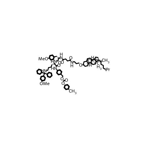 COc1ccc(C[C@H](NC(=O)CCC(=O)NCCCO[C@H]2CC[C@@]3(C)C(=CC[C@H]4[C@@H]5CC[C@H]([C@H](C)CCCC(C)C)[C@@]5(C)CC[C@@H]43)C2)C(=O)N[C@@H](CCCCNC(c2ccccc2)(c2ccccc2)c2ccc(OC)cc2)C(=O)Nc2ccc(COC(=O)Oc3ccc(C)cc3)cc2)cc1